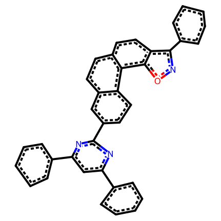 c1ccc(-c2cc(-c3ccccc3)nc(-c3ccc4c(ccc5ccc6c(-c7ccccc7)noc6c54)c3)n2)cc1